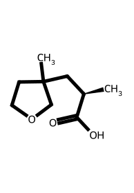 C[C@H](CC1(C)CCOC1)C(=O)O